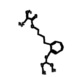 C=C(C)C(=O)OCCCCc1ccccc1OC(OCC)OCC